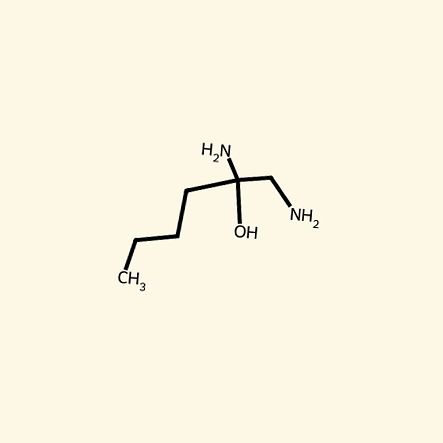 CCCCC(N)(O)CN